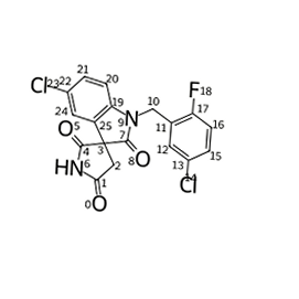 O=C1CC2(C(=O)N1)C(=O)N(Cc1cc(Cl)ccc1F)c1ccc(Cl)cc12